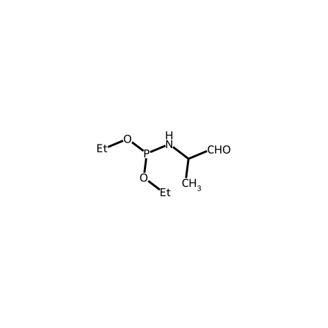 CCOP(NC(C)C=O)OCC